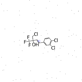 OC(/C=C/c1ccc(Cl)c(Cl)c1)(CCl)C(F)(F)F